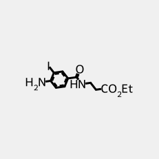 CCOC(=O)CCNC(=O)c1ccc(N)c(I)c1